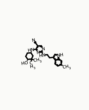 Cc1ccc2c(CCNc3ncc(C#N)c(N[C@@H]4CC[C@H](O)C(C)(C)C4)n3)c[nH]c2c1